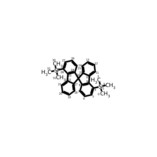 C[Si](C)(C)c1cccc2c1-c1ccccc1C21c2ccccc2-c2c1cccc2[Si](C)(C)C